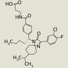 CCCC[C@H](c1ccc(C(=O)NCCC(=O)O)cc1)N1C(=O)C(c2ccc(F)c(Cl)c2)=NC12CCC(C(C)C)CC2